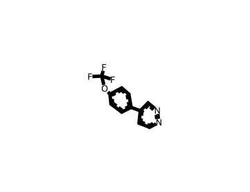 FC(F)(F)Oc1ccc(-c2ccnnc2)cc1